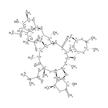 C=C1C[C@@H](C)O[C@@H](O[C@@H]2[C@@H](C)[C@H](O[C@H]3C[C@@H](C)N(C)C[C@H](C)O3)[C@@H](C)C(=O)O[C@H]([C@@H](C)CO[C@@H]3O[C@H](C)[C@@H](O)[C@@H](OC)[C@H]3OC)[C@H](C)[C@@H](OC(=O)CC(C)C)[C@@H](C)C(=O)[C@@](C)(OC(=O)N(C)C)C[C@@H]2C)[C@@H]1O